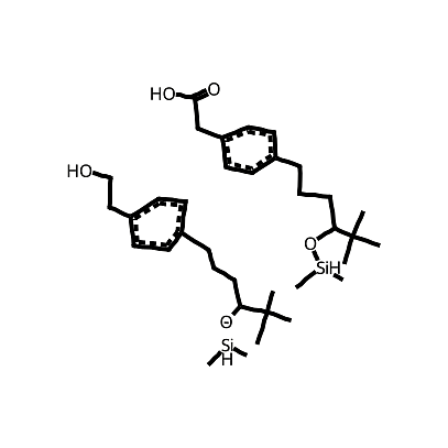 C[SiH](C)OC(CCCc1ccc(CC(=O)O)cc1)C(C)(C)C.C[SiH](C)OC(CCCc1ccc(CCO)cc1)C(C)(C)C